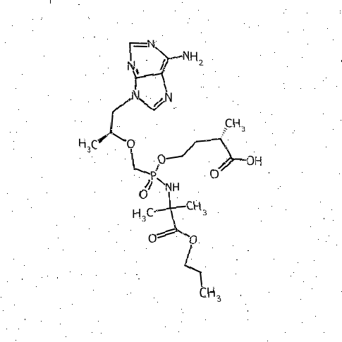 CCCOC(=O)C(C)(C)NP(=O)(CO[C@@H](C)Cn1cnc2c(N)ncnc21)OCC[C@H](C)C(=O)O